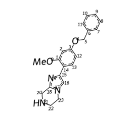 COc1cc(OCc2ccccc2)ccc1-c1cn2c(n1)CNCC2